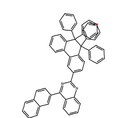 c1ccc(C2(c3ccccc3)c3ccccc3-c3cc(-c4nc(-c5ccc6ccccc6c5)c5ccccc5n4)ccc3C2(c2ccccc2)c2ccccc2)cc1